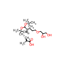 C=C(C)C(=O)O.C[Si](C)(C)OC(O[Si](C)(C)C)[SiH2]CCCOCC(O)CO